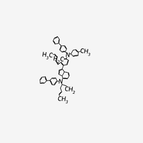 C=CC(C/C=C/C)N(C1=CC=CC2C(C(/C=C\C(=C)N(c3ccc(-c4ccccc4)cc3)C3C=CC(C)=CC3)=C\C=C/C=C\C)=C=CC12)c1ccc(-c2ccccc2)cc1